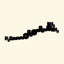 C=CCCCCCCC1CCC(C(=O)Oc2ccc(/C=C/C(=O)OCCc3cc(N)cc(N)c3)cc2)CC1